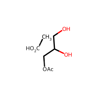 CC(=O)O.CC(=O)OCC(O)CO